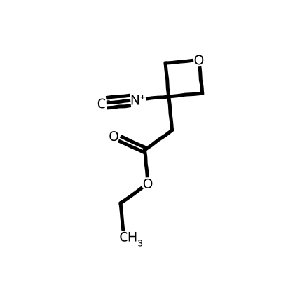 [C-]#[N+]C1(CC(=O)OCC)COC1